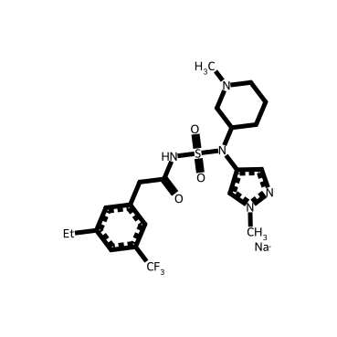 CCc1cc(CC(=O)NS(=O)(=O)N(c2cnn(C)c2)C2CCCN(C)C2)cc(C(F)(F)F)c1.[Na]